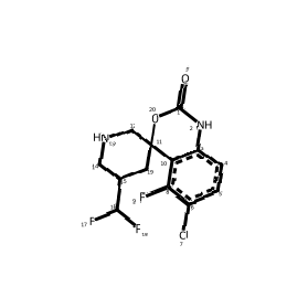 O=C1Nc2ccc(Cl)c(F)c2C2(CNCC(C(F)F)C2)O1